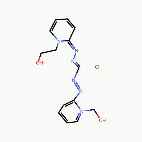 OCCn1ccccc1=NN=CN=Nc1cccc[n+]1CO.[Cl-]